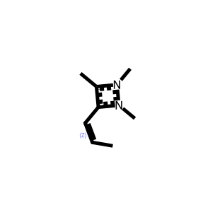 C/C=C\c1c(C)n(C)n1C